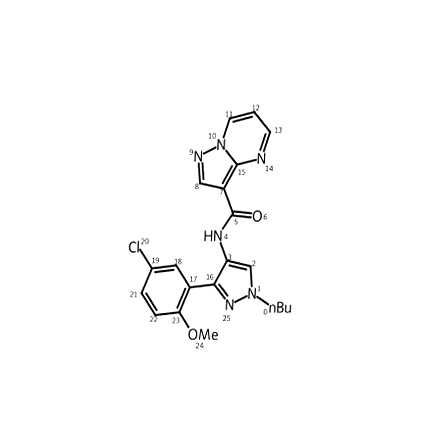 CCCCn1cc(NC(=O)c2cnn3cccnc23)c(-c2cc(Cl)ccc2OC)n1